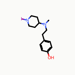 CN(CCc1ccc(O)cc1)C1CCN(I)CC1